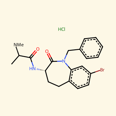 CNC(C)C(=O)N[C@H]1CCc2ccc(Br)cc2N(Cc2ccccc2)C1=O.Cl